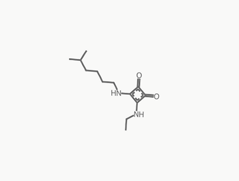 CCNc1c(NCCCCC(C)C)c(=O)c1=O